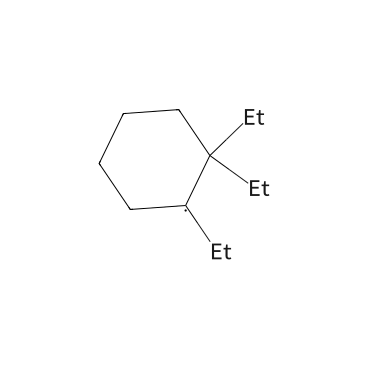 CC[C]1CCCCC1(CC)CC